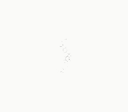 O=C(c1ccc(-n2ncc3c(=O)n(CC4(O)CCN(C(=O)C5CC5)CC4)cnc32)cc1)N1CC(O)C1